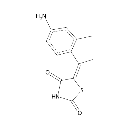 CC(=C1SC(=O)NC1=O)c1ccc(N)cc1C